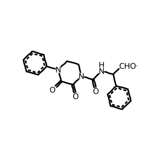 O=[C]C(NC(=O)N1CCN(c2ccccc2)C(=O)C1=O)c1ccccc1